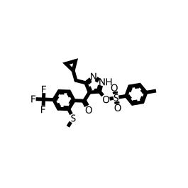 CSc1cc(C(F)(F)F)ccc1C(=O)c1c(CC2CC2)n[nH]c1OS(=O)(=O)c1ccc(C)cc1